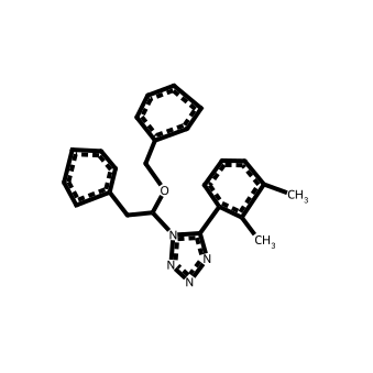 Cc1cccc(-c2nnnn2C(Cc2ccccc2)OCc2ccccc2)c1C